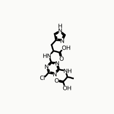 CC(Nc1nc(Cl)nc(NC(Cc2c[nH]cn2)C(=O)O)n1)C(=O)O